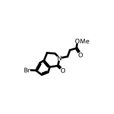 COC(=O)CCN1CCc2cc(Br)ccc2C1=O